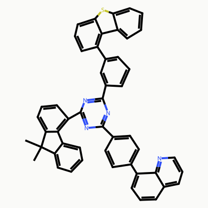 CC1(C)c2ccccc2-c2c(-c3nc(-c4ccc(-c5cccc6cccnc56)cc4)nc(-c4cccc(-c5cccc6sc7ccccc7c56)c4)n3)cccc21